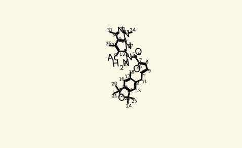 CC(=O)c1c(N(N)C(=O)c2ccc(Cc3cc4c(cc3C)C(C)(C)OC4(C)C)o2)nc2c(c(C)nn2C)c1C